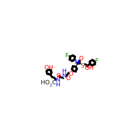 O=C(COc1ccc([C@@H]2[C@@H](SCC(O)c3ccc(F)cc3)C(=O)N2c2ccc(F)cc2)cc1)NCC(=O)N[C@H](CCc1ccc(O)cc1)C(=O)O